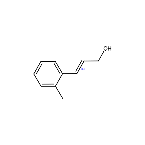 Cc1ccccc1/C=C/CO